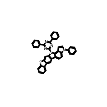 c1ccc(-c2nc(-c3ccccc3)nc(-n3c4cc5sc6ccccc6c5cc4c4ccc5c(ccn5-c5ccccc5)c43)n2)cc1